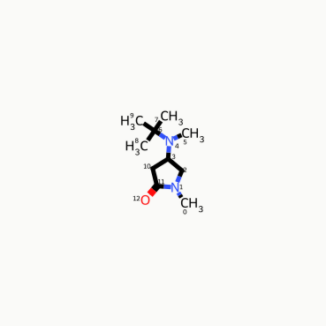 CN1CC(N(C)C(C)(C)C)CC1=O